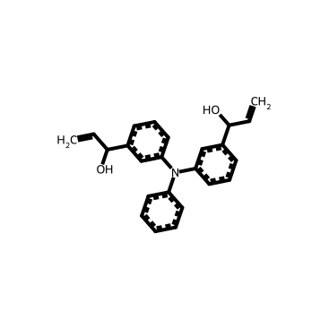 C=CC(O)c1cccc(N(c2ccccc2)c2cccc(C(O)C=C)c2)c1